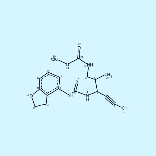 CC#CC(NC(=S)Nc1cccc2c1CCO2)C(C)CNC(=O)OC(C)(C)C